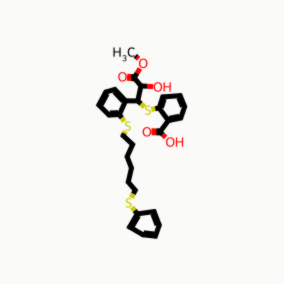 COC(=O)C(O)C(Sc1ccccc1C(=O)O)c1ccccc1SCCCCCCSc1ccccc1